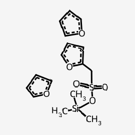 C[Si](C)(C)OS(=O)(=O)Cc1ccco1.c1ccoc1.c1ccoc1